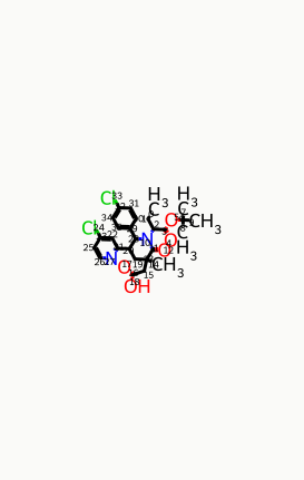 CCC(C(=O)OC(C)(C)C)N1C(=O)C(C)(CC(=O)O)CC(c2cc(Cl)ccn2)C1c1ccc(Cl)cc1